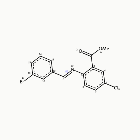 COC(=O)c1cc(Cl)ccc1/N=C/c1cccc(Br)c1